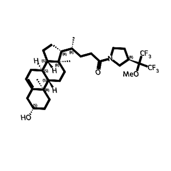 COC([C@@H]1CCN(C(=O)CC[C@@H](C)[C@H]2CC[C@H]3[C@@H]4CC=C5C[C@@H](O)CC[C@]5(C)[C@H]4CC[C@]23C)C1)(C(F)(F)F)C(F)(F)F